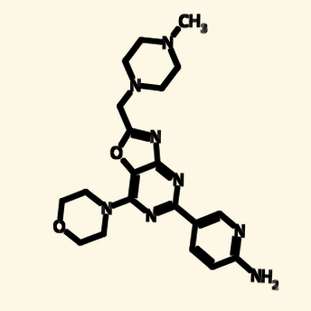 CN1CCN(Cc2nc3nc(-c4ccc(N)nc4)nc(N4CCOCC4)c3o2)CC1